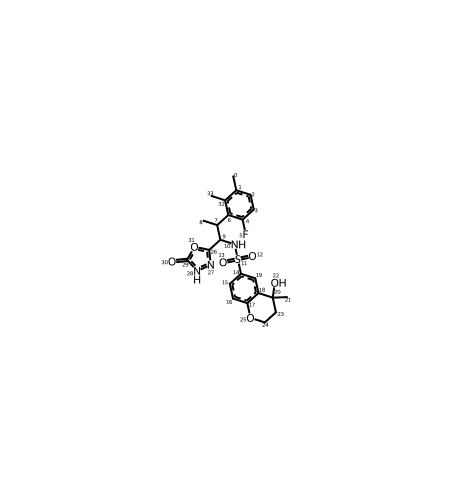 Cc1ccc(F)c(C(C)C(NS(=O)(=O)c2ccc3c(c2)C(C)(O)CCO3)c2n[nH]c(=O)o2)c1C